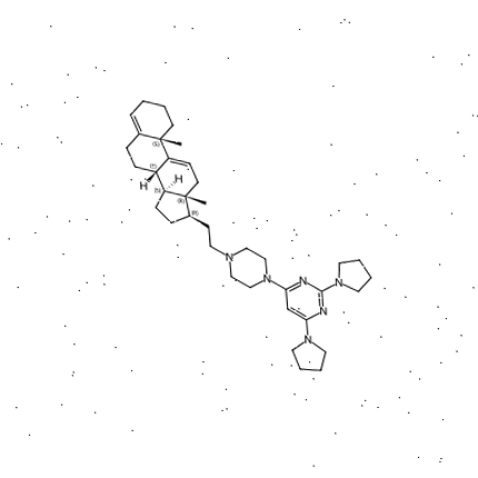 C[C@]12CCCC=C1CC[C@@H]1C2=CC[C@]2(C)[C@@H](CCN3CCN(c4cc(N5CCCC5)nc(N5CCCC5)n4)CC3)CC[C@@H]12